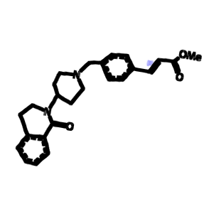 COC(=O)/C=C/c1ccc(CN2CCC(N3CCc4ccccc4C3=O)CC2)cc1